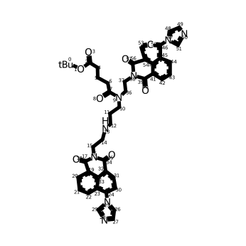 CC(C)(C)OC(=O)CCCC(=O)N(CCCNCCN1C(=O)c2cccc3c(-n4ccnc4)ccc(c23)C1=O)CCN1C(=O)c2cccc3c(-n4ccnc4)ccc(c23)C1=O